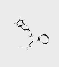 CON(C)C(=O)[C@H](O)[C@H](Cc1ccccc1)NC(=O)Oc1cc2cc(Cl)c(Cl)cc2[nH]1